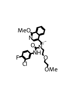 COCCOCCN(C(=O)Nc1ccc(F)c(Cl)c1)[C@@H](C)c1cnc(OC)c2ccccc12